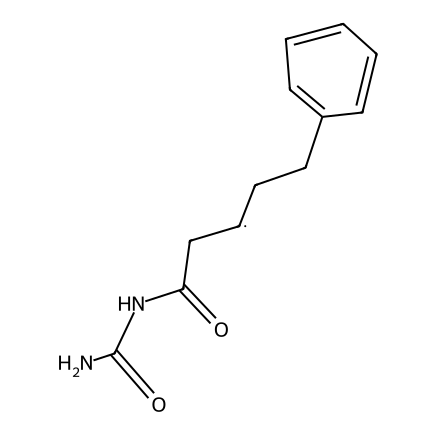 NC(=O)NC(=O)C[CH]CCc1ccccc1